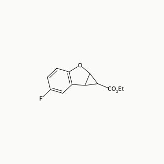 CCOC(=O)C1C2Oc3ccc(F)cc3C21